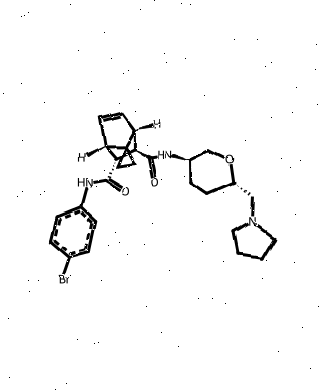 O=C(N[C@@H]1CC[C@@H](CN2CCCC2)OC1)[C@H]1[C@H](C(=O)Nc2ccc(Br)cc2)[C@@H]2C=C[C@H]1C21CC1